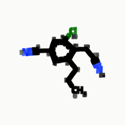 CCCc1cc(C#N)cc(Cl)c1CC#N